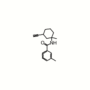 C#CC1CCCC(C)(NC(=O)C2=C=C=CC(C)=C2)C1